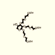 COCCOCCOC1OC[C@@H](O)[C@H](OCCOCCOC)[C@H]1OCCOCCOC